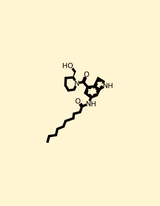 CCCCCCCCCC(=O)Nc1cc(C(=O)N2CCCC[C@H]2CO)c2cc[nH]c2c1